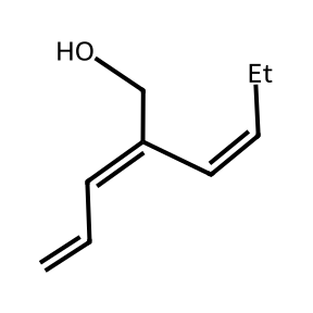 C=C/C=C(\C=C/CC)CO